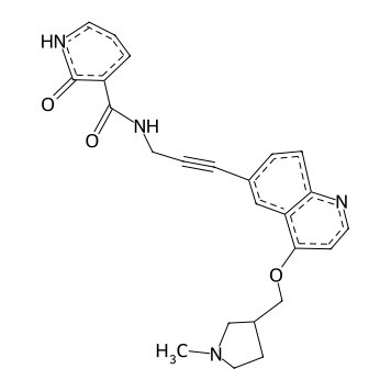 CN1CCC(COc2ccnc3ccc(C#CCNC(=O)c4ccc[nH]c4=O)cc23)C1